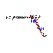 CC(=O)COCCOCCNC(=O)COCCOCCNC(=O)CC[C@H](NC(=O)CCCCCCCCCCCCCCCCC(=O)O)C(=O)O